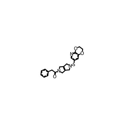 O=C(Cc1ccccc1)N1CC2=C(CN(Sc3cnc4c(c3)OCCO4)C2)C1